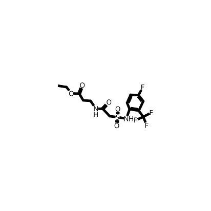 CCOC(=O)CCNC(=O)CS(=O)(=O)Nc1ccc(F)cc1C(F)(F)F